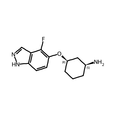 N[C@H]1CCC[C@@H](Oc2ccc3[nH]ncc3c2F)C1